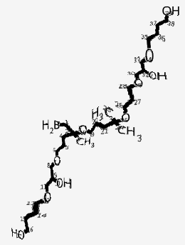 BCC(C)(CCCOCC(O)COCCCCO)OCCCC(C)(C)OCCCOCC(O)COCCCCO